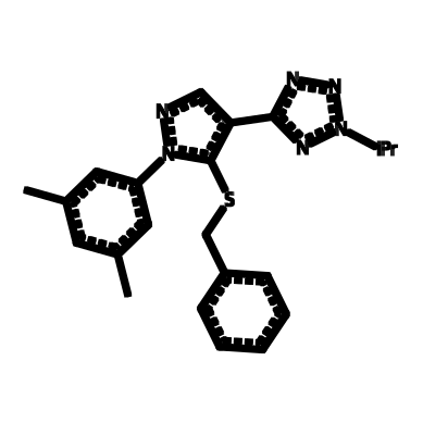 Cc1cc(C)cc(-n2ncc(-c3nnn(C(C)C)n3)c2SCc2ccccc2)c1